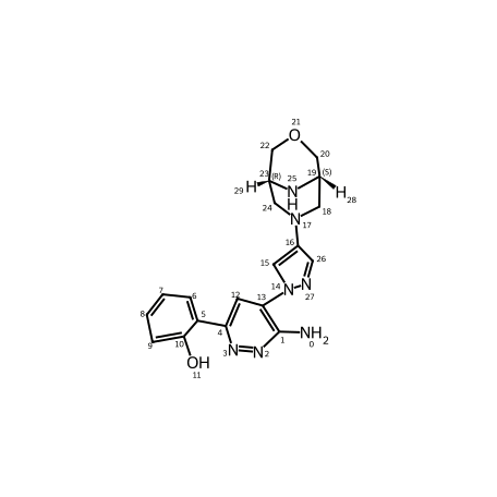 Nc1nnc(-c2ccccc2O)cc1-n1cc(N2C[C@H]3COC[C@@H](C2)N3)cn1